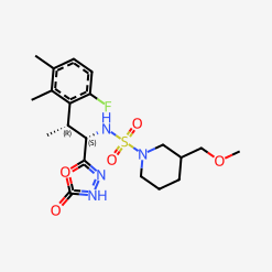 COCC1CCCN(S(=O)(=O)N[C@H](c2n[nH]c(=O)o2)[C@H](C)c2c(F)ccc(C)c2C)C1